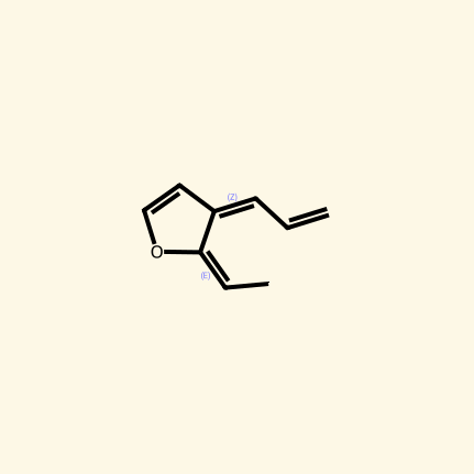 C=C/C=c1/cco/c1=C/C